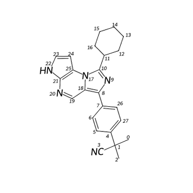 CC(C)(C#N)c1ccc(-c2nc(C3CCCCC3)n3c2cnc2[nH]ccc23)cc1